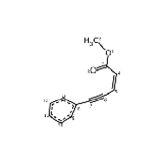 COC(=O)/C=C\C#Cc1ccccc1